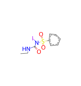 CCNC(=O)N(I)S(=O)(=O)c1ccccc1